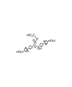 CCCCCCCCc1cnc(-c2ccc(C(O)COC(COC(=O)C[C@H](C)CCC(=O)O)c3ccc(-c4ncc(CCCCCCCC)cn4)cc3)cc2)nc1